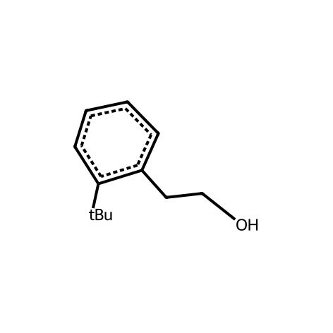 CC(C)(C)c1ccccc1CCO